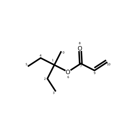 [CH2]C(CC)(CC)OC(=O)C=C